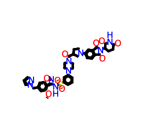 COc1cc(Cn2cccn2)cc2onc(NS(=O)(=O)c3cccc(N4CCN(C(=O)C5CCN(c6ccc7c(c6)C(=O)N(C6CCC(=O)NC6=O)C7=O)C5)CC4)c3)c12